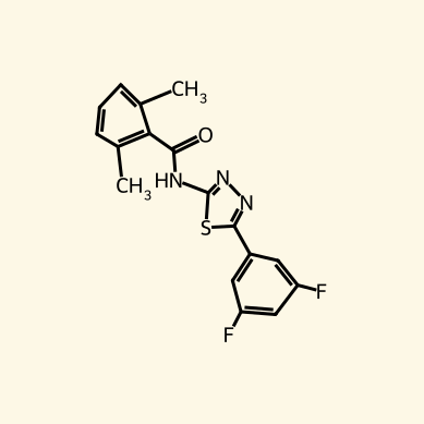 Cc1cccc(C)c1C(=O)Nc1nnc(-c2cc(F)cc(F)c2)s1